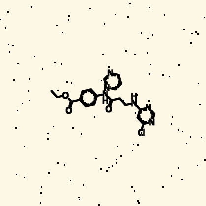 CCOC(=O)c1ccc(NC(=O)CCNc2cc(Cl)ncn2)cc1.c1cncnc1